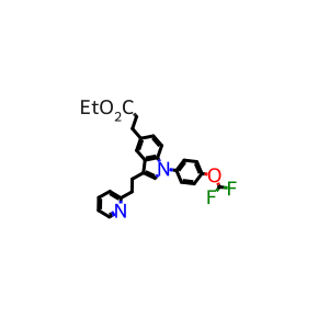 CCOC(=O)CCc1ccc2c(c1)c(CCc1ccccn1)cn2-c1ccc(OC(F)F)cc1